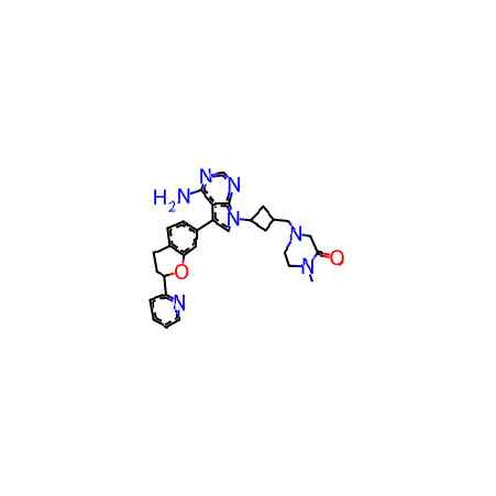 CN1CCN(CC2CC(n3cc(-c4ccc5c(c4)OC(c4ccccn4)CC5)c4c(N)ncnc43)C2)CC1=O